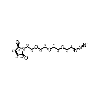 [N-]=[N+]=NCCOCCOCCOCCN1C(=O)C=CC1=O